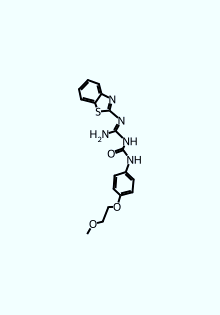 COCCOc1ccc(NC(=O)N/C(N)=N/c2nc3ccccc3s2)cc1